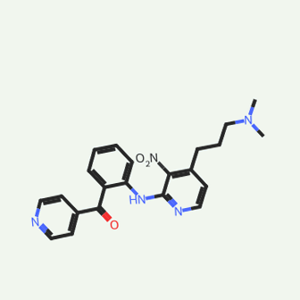 CN(C)CCCc1ccnc(Nc2ccccc2C(=O)c2ccncc2)c1[N+](=O)[O-]